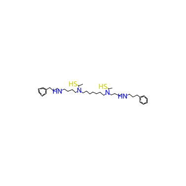 CC(S)N(CCCCCCCN(CCCCNCCCc1ccccc1)C(C)S)CCCCNCCCc1ccccc1